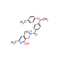 Cc1ccc(OC(C)c2ccc(C(=O)NCc3c(C)cc(C)nc3O)cc2)cc1